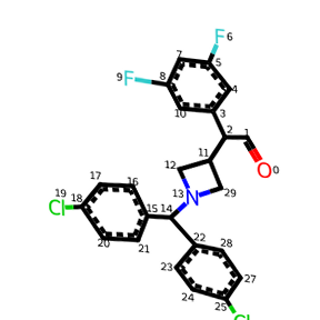 O=CC(c1cc(F)cc(F)c1)C1CN(C(c2ccc(Cl)cc2)c2ccc(Cl)cc2)C1